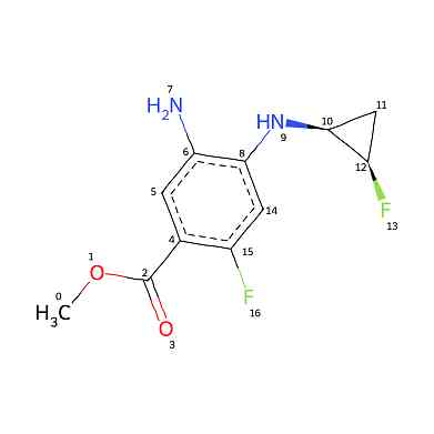 COC(=O)c1cc(N)c(N[C@H]2C[C@H]2F)cc1F